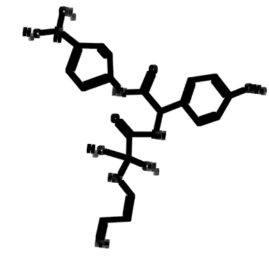 COc1ccc(C(NC(=O)C(C)(C)N/C=C\C=N)C(=O)Nc2ccc([SiH](C)C)cc2)cc1